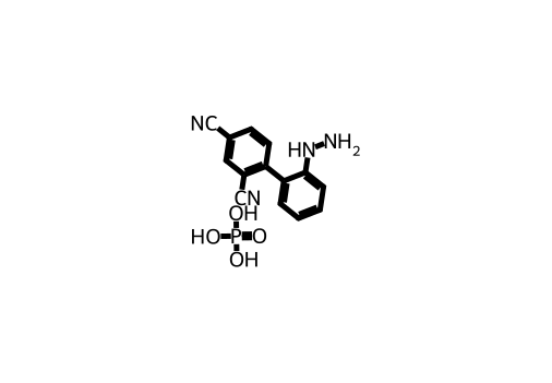 N#Cc1ccc(-c2ccccc2NN)c(C#N)c1.O=P(O)(O)O